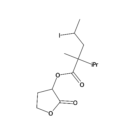 CC(I)CC(C)(C(=O)OC1CCOC1=O)C(C)C